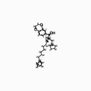 O[C@H](c1ccc2c(c1)OCCO2)[C@@H](CN1CCCC1)NCCCCCCn1cccn1